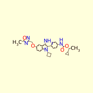 Cc1nc(COc2ccc3c(c2)c(N)c(-c2ccc(NC(=O)OC(C)C4CC4)cc2)n3C2CCC2)no1